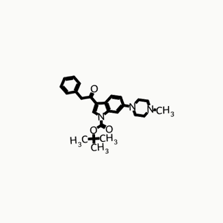 CN1CCN(c2ccc3c(C(=O)Cc4ccccc4)cn(C(=O)OC(C)(C)C)c3c2)CC1